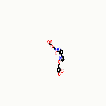 COc1ccc(CCOc2cccc(-c3cccc(C(=O)NCCOCCO)c3)n2)cc1OC